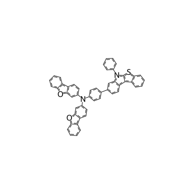 c1ccc(-n2c3cc(-c4ccc(N(c5ccc6c(c5)oc5ccccc56)c5ccc6c(c5)oc5ccccc56)cc4)ccc3c3c4ccccc4sc32)cc1